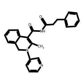 CC1=C(C(=O)NC(=O)CCc2ccccc2)c2ccccc2CN1c1cccnc1